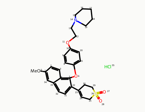 COc1ccc2c(Oc3ccc(OCCN4CCCCC4)cc3)c(C3=CCS(=O)(=O)CC3)ccc2c1.Cl